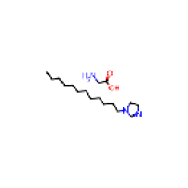 CCCCCCCCCCCCN1C=NCC1.NCC(=O)O